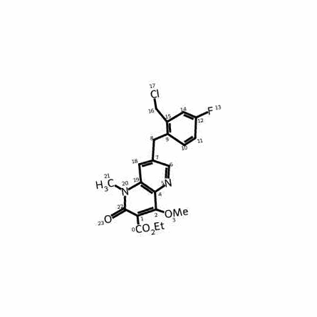 CCOC(=O)c1c(OC)c2ncc(Cc3ccc(F)cc3CCl)cc2n(C)c1=O